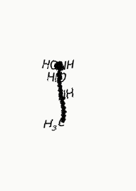 CCCCCCCCCCCCCNCCCCCCCC(=O)NCCc1c[nH]c2ccc(O)cc12